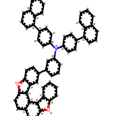 c1cc(-c2ccc3oc4ccc5ccc6oc7ccccc7c6c5c4c3c2)cc(N(c2ccc(-c3cccc4ccccc34)cc2)c2ccc(-c3cccc4ccccc34)cc2)c1